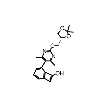 Cc1nc(OC[C@@H]2COC(C)(C)O2)nc(C)c1-c1cccc2c1C(O)=C2